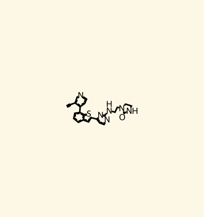 C#Cc1cnccc1-c1cccc2cc(-c3ccnc(NCCN4CCNC4=O)n3)sc12